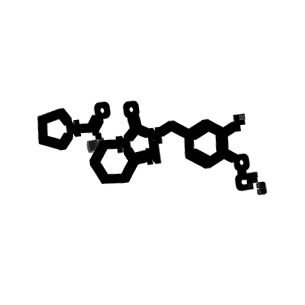 O=C([C@H]1CCCc2nn(Cc3ccc(OC(F)(F)F)c(F)c3)c(=O)n21)N1CCCC1